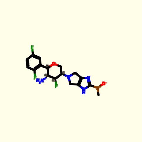 C[S+]([O-])c1nc2c([nH]1)CN([C@H]1CO[C@H](c3cc(F)ccc3F)[C@@H](N)[C@H]1F)C2